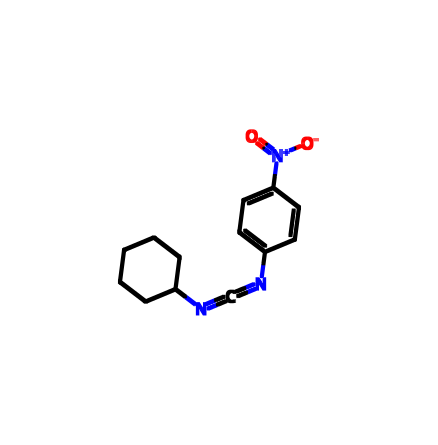 O=[N+]([O-])c1ccc(N=C=NC2CCCCC2)cc1